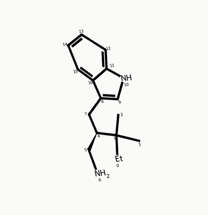 CCC(C)(C)[C@@H](CN)Cc1c[nH]c2ccccc12